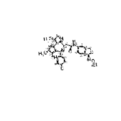 CCO/N=C1\OCc2cc(NC(=O)C[C@@H]3N=C(c4ccc(Cl)cc4)c4c(sc(C)c4C)-n4c(C)nnc43)ccc21